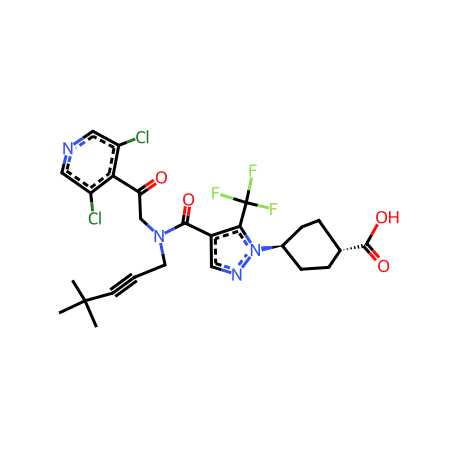 CC(C)(C)C#CCN(CC(=O)c1c(Cl)cncc1Cl)C(=O)c1cnn([C@H]2CC[C@H](C(=O)O)CC2)c1C(F)(F)F